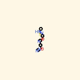 CN1CCN(C(=O)c2ccc(-c3cc(Oc4ccc5nc(NC6CCCCC6)sc5c4)ccn3)cc2)CC1